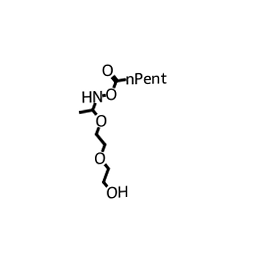 CCCCCC(=O)ONC(C)OCCOCCO